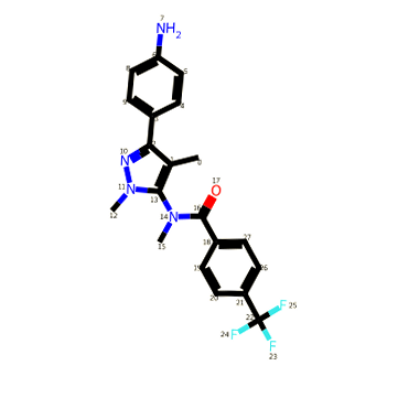 Cc1c(-c2ccc(N)cc2)nn(C)c1N(C)C(=O)c1ccc(C(F)(F)F)cc1